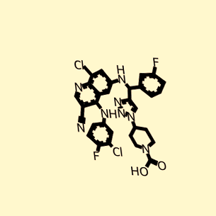 N#Cc1cnc2c(Cl)cc(NC(c3cccc(F)c3)c3cn(C4CCN(C(=O)O)CC4)nn3)cc2c1Nc1ccc(F)c(Cl)c1